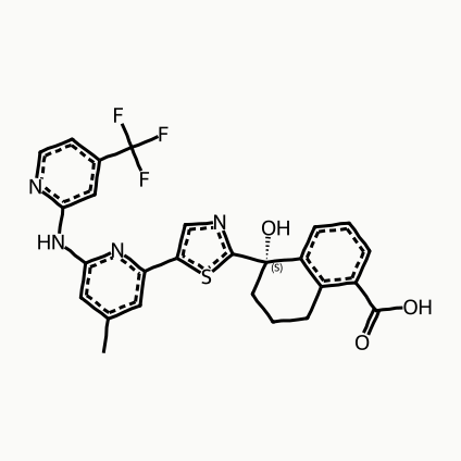 Cc1cc(Nc2cc(C(F)(F)F)ccn2)nc(-c2cnc([C@]3(O)CCCc4c(C(=O)O)cccc43)s2)c1